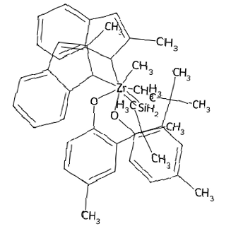 CC1=Cc2ccccc2[CH]1[Zr]([CH3])([CH3])(=[SiH2])([O]c1ccc(C)cc1C(C)(C)C)([O]c1ccc(C)cc1C(C)(C)C)[CH]1C(C)=Cc2ccccc21